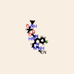 CC1(C(=O)NC2CC2)COC(c2nc(-c3ccc(F)cc3)c(-c3ccnc(NCC#N)n3)[nH]2)OC1